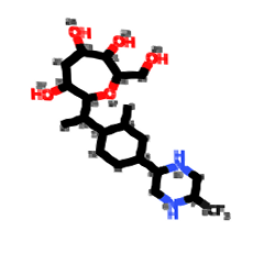 CC1CC(C2CNC(C(F)(F)F)CN2)CCC1C(C)C1OC(CO)C(O)C(O)CC1O